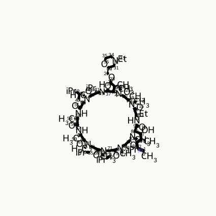 C/C=C/C[C@@H](C)[C@@H](O)[C@H]1C(=O)N[C@@H](CC)C(=O)N(C)[C@H](C)C(=O)N(C)[C@@H]([C@H](C)COC[C@@H]2CN(CC)CCO2)C(=O)N[C@@H](C(C)C)C(=O)N(C)[C@@H](CCC(C)C)C(=O)N[C@@H](C)C(=O)N[C@H](C)C(=O)N(C)[C@@H](CC(C)C)C(=O)N(C)[C@@H](CC(C)C)C(=O)N(C)[C@@H](C(C)C)C(=O)N1C